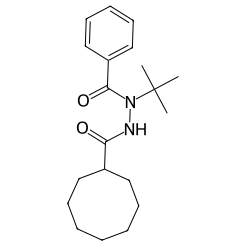 CC(C)(C)N(NC(=O)C1CCCCCCC1)C(=O)c1ccccc1